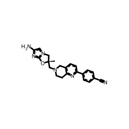 C[C@]1(CN2CCc3nc(-c4ccc(C#N)cc4)ccc3C2)Cn2cc(N)nc2O1